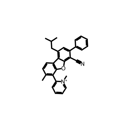 Cc1ccc2c(oc3c(C#N)c(-c4ccccc4)cc(CC(C)C)c32)c1-c1cccc[n+]1C